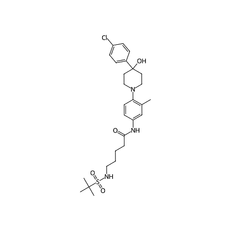 Cc1cc(NC(=O)CCCCNS(=O)(=O)C(C)(C)C)ccc1N1CCC(O)(c2ccc(Cl)cc2)CC1